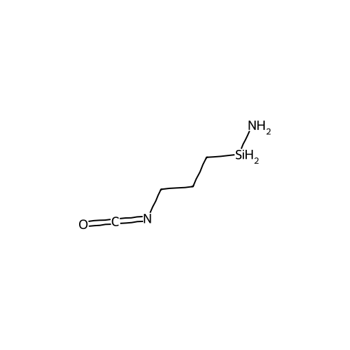 N[SiH2]CCCN=C=O